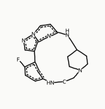 Fc1ccc2cc1-c1cnn3ccc(nc13)NC1CCN(CCN2)CC1